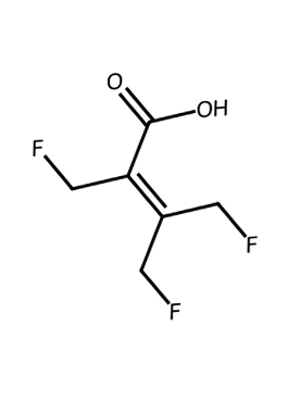 O=C(O)C(CF)=C(CF)CF